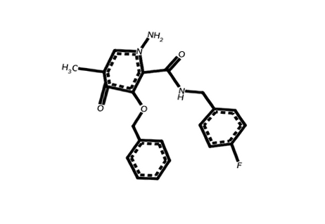 Cc1cn(N)c(C(=O)NCc2ccc(F)cc2)c(OCc2ccccc2)c1=O